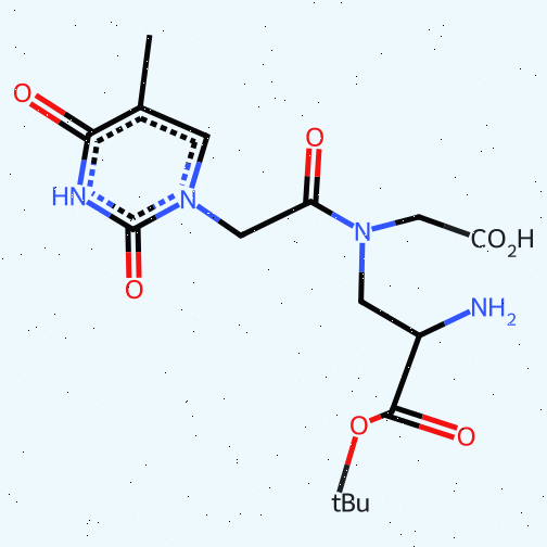 Cc1cn(CC(=O)N(CC(=O)O)CC(N)C(=O)OC(C)(C)C)c(=O)[nH]c1=O